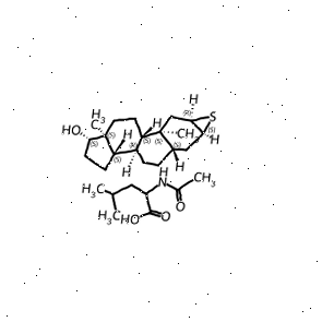 CC(=O)NC(CC(C)C)C(=O)O.C[C@]12C[C@H]3S[C@H]3C[C@@H]1CC[C@@H]1[C@@H]2CC[C@]2(C)[C@@H](O)CC[C@@H]12